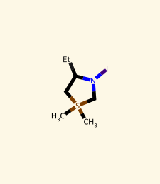 CCC1CS(C)(C)CN1I